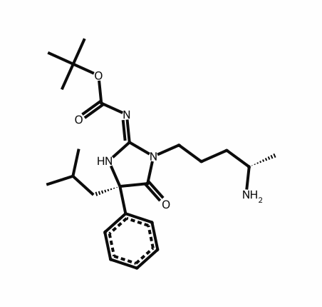 CC(C)C[C@]1(c2ccccc2)N/C(=N\C(=O)OC(C)(C)C)N(CCC[C@H](C)N)C1=O